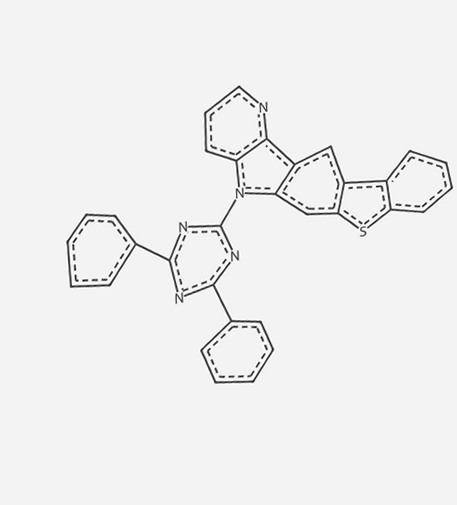 c1ccc(-c2nc(-c3ccccc3)nc(-n3c4cc5sc6ccccc6c5cc4c4ncccc43)n2)cc1